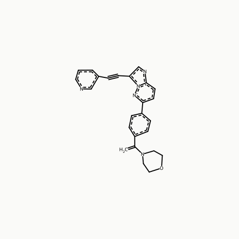 C=C(c1ccc(-c2ccc3ncc(C#Cc4cccnc4)n3n2)cc1)N1CCOCC1